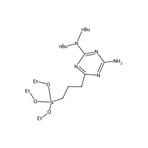 CCCCN(CCCC)c1nc(N)nc(CCC[Si](OCC)(OCC)OCC)n1